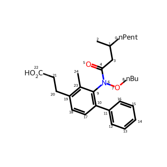 CCCCCC(C)CC(=O)N(OCCCC)c1c(-c2ccccc2)ccc(CCC(=O)O)c1C